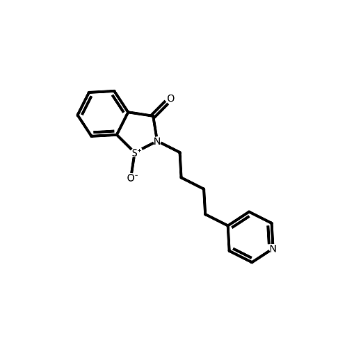 O=c1c2ccccc2[s+]([O-])n1CCCCc1ccncc1